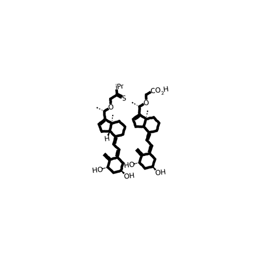 C=C1C(=CC=C2CCC[C@]3(C)C([C@H](C)OCC(=O)O)=CCC23)C[C@@H](O)C[C@@H]1O.C=C1C(=CC=C2CCC[C@]3(C)C([C@H](C)OCC(=S)C(C)C)=CC[C@@H]23)C[C@@H](O)C[C@@H]1O